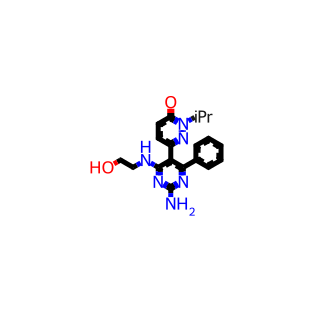 CC(C)n1nc(-c2c(NCCO)nc(N)nc2-c2ccccc2)ccc1=O